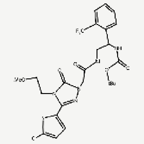 COCCn1c(-c2ccc(Cl)s2)nn(CC(=O)NCC(NC(=O)OC(C)(C)C)c2ccccc2C(F)(F)F)c1=O